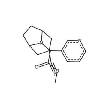 COC(=O)CN1C2CCC1CC(C#N)(c1cccnc1)C2